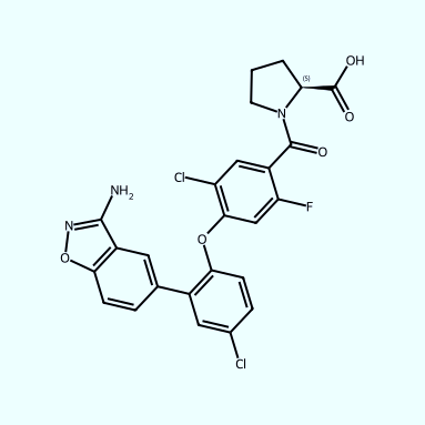 Nc1noc2ccc(-c3cc(Cl)ccc3Oc3cc(F)c(C(=O)N4CCC[C@H]4C(=O)O)cc3Cl)cc12